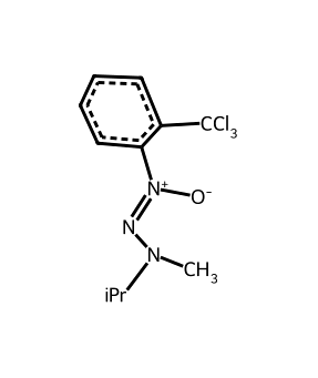 CC(C)N(C)/N=[N+](\[O-])c1ccccc1C(Cl)(Cl)Cl